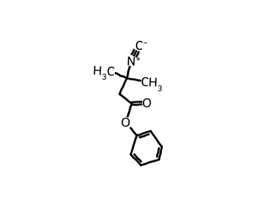 [C-]#[N+]C(C)(C)CC(=O)Oc1ccccc1